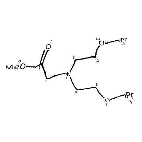 COC(=O)CN(CCOC(C)C)CCOC(C)C